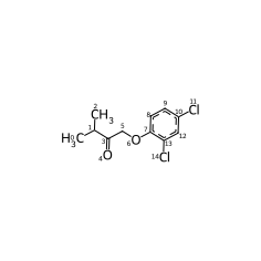 CC(C)C(=O)COc1ccc(Cl)cc1Cl